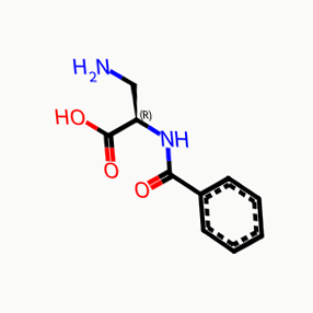 NC[C@@H](NC(=O)c1ccccc1)C(=O)O